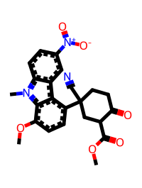 COC(=O)C1CC(C#N)(c2ccc(OC)c3c2c2cc([N+](=O)[O-])ccc2n3C)CCC1=O